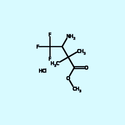 COC(=O)C(C)(C)C(N)C(F)(F)F.Cl